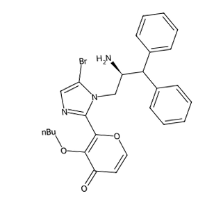 CCCCOc1c(-c2ncc(Br)n2C[C@@H](N)C(c2ccccc2)c2ccccc2)occc1=O